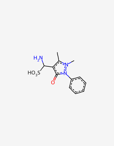 Cc1c(C(N)S(=O)(=O)O)c(=O)n(-c2ccccc2)n1C